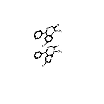 CN1C(=O)CN=C(c2ccccc2)c2cc(Cl)ccc21.CN1C(=O)CN=C(c2ccccc2)c2cc(Cl)ccc21